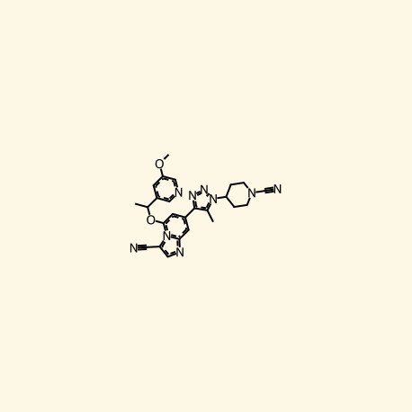 COc1cncc(C(C)Oc2cc(-c3nnn(C4CCN(C#N)CC4)c3C)cc3ncc(C#N)n23)c1